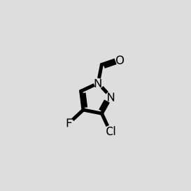 O=Cn1cc(F)c(Cl)n1